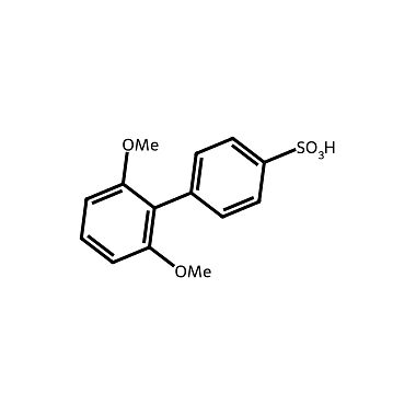 COc1cccc(OC)c1-c1ccc(S(=O)(=O)O)cc1